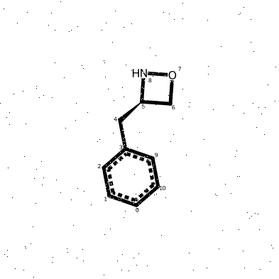 c1ccc(C[C@@H]2CON2)cc1